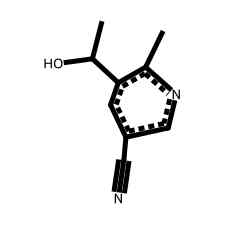 Cc1ncc(C#N)cc1C(C)O